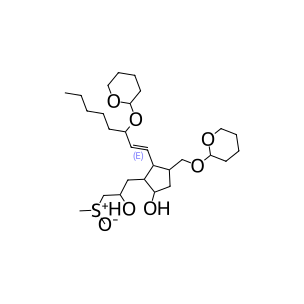 CCCCCC(/C=C/C1C(COC2CCCCO2)CC(O)C1CC(O)C[S+](C)[O-])OC1CCCCO1